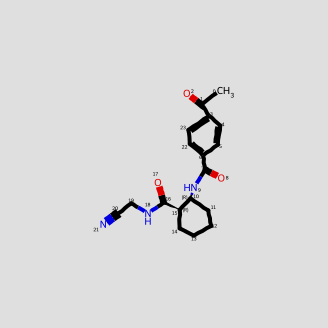 CC(=O)c1ccc(C(=O)N[C@@H]2CCCC[C@H]2C(=O)NCC#N)cc1